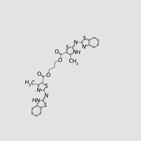 Cc1nc(/N=c2\[nH]c3ccccc3s2)sc1C(=O)OCCCOC(=O)c1s/c(=N/c2nc3ccccc3s2)[nH]c1C